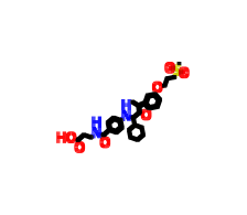 Cc1c(C(Nc2ccc(C(=O)NCCC(=O)O)cc2)C2CCCCC2)oc2ccc(OCCCS(C)(=O)=O)cc12